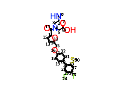 CNCCN(CC(=O)O)C(=O)c1ccc(COc2ccc(-c3cc(F)c(F)cc3SC)cc2)o1